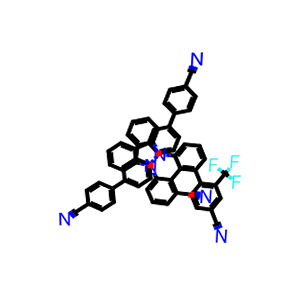 N#Cc1ccc(-c2ccc3c(c2)c2ccccc2n3-c2cccc(C#N)c2-c2c(-c3ccc(C#N)cc3C(F)(F)F)cccc2-n2c3ccccc3c3cc(-c4ccc(C#N)cc4)ccc32)cc1